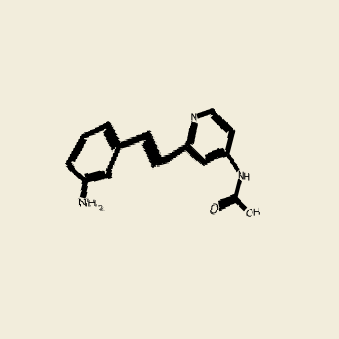 Nc1cccc(C=Cc2cc(NC(=O)O)ccn2)c1